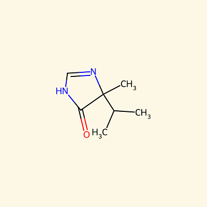 CC(C)C1(C)N=CNC1=O